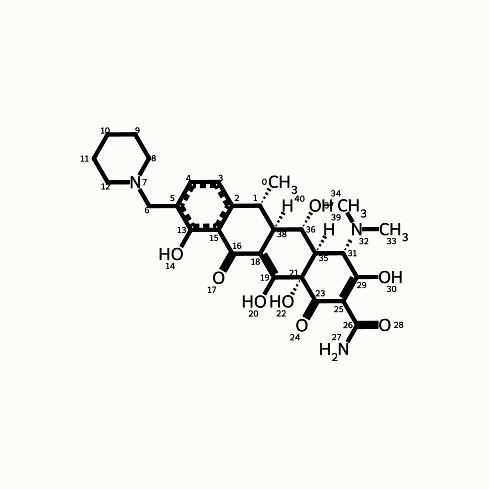 C[C@H]1c2ccc(CN3CCCCC3)c(O)c2C(=O)C2=C(O)[C@]3(O)C(=O)C(C(N)=O)=C(O)[C@@H](N(C)C)[C@@H]3[C@@H](O)[C@@H]21